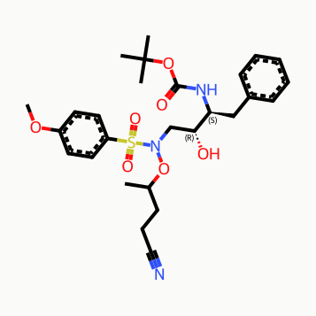 COc1ccc(S(=O)(=O)N(C[C@@H](O)[C@H](Cc2ccccc2)NC(=O)OC(C)(C)C)OC(C)CCC#N)cc1